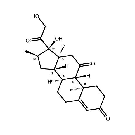 C[C@@H]1C[C@H]2[C@@H]3CCC4=CC(=O)CC[C@]4(C)[C@H]3C(=O)C[C@]2(C)[C@@]1(O)C(=O)CO